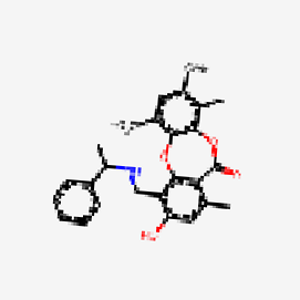 COc1cc(C(=O)O)c2c(c1C)OC(=O)c1c(C)cc(O)c(CNC(C)c3ccccc3)c1O2